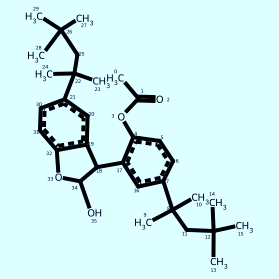 CC(=O)Oc1ccc(C(C)(C)CC(C)(C)C)cc1C1c2cc(C(C)(C)CC(C)(C)C)ccc2OC1O